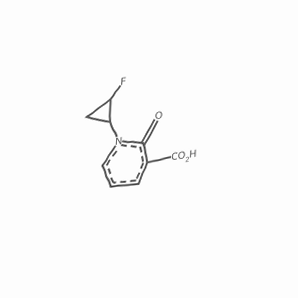 O=C(O)c1cccn(C2CC2F)c1=O